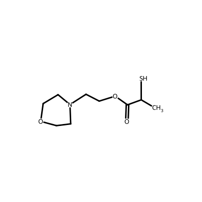 CC(S)C(=O)OCCN1CCOCC1